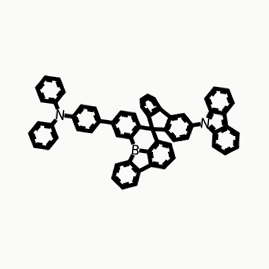 c1ccc(N(c2ccccc2)c2ccc(-c3ccc4c(c3)B3c5ccccc5-c5cccc(c53)C43c4ccccc4-c4cc(-n5c6ccccc6c6ccccc65)ccc43)cc2)cc1